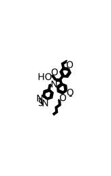 CCCCCOc1cc2c(cc1OC)c(-c1ccc3c(c1)CCO3)c(C(=O)O)n2Cc1ccc2nsnc2c1